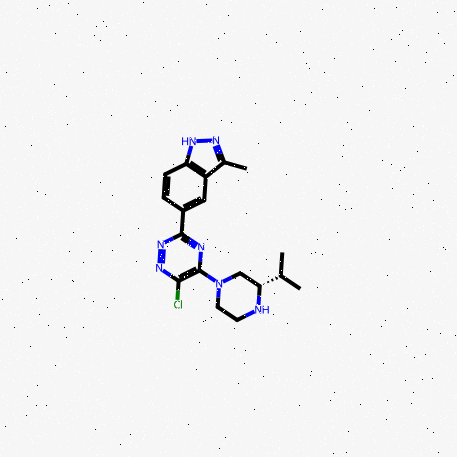 Cc1n[nH]c2ccc(-c3nnc(Cl)c(N4CCN[C@@H](C(C)C)C4)n3)cc12